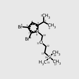 CC(C)c1cc(Br)c(Br)n1COCC[Si](C)(C)C